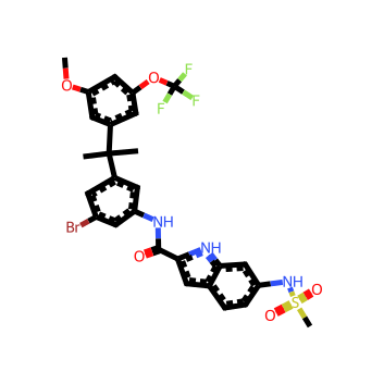 COc1cc(OC(F)(F)F)cc(C(C)(C)c2cc(Br)cc(NC(=O)c3cc4ccc(NS(C)(=O)=O)cc4[nH]3)c2)c1